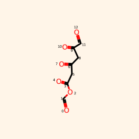 O=COC(=O)CC(=O)CC(=O)C=O